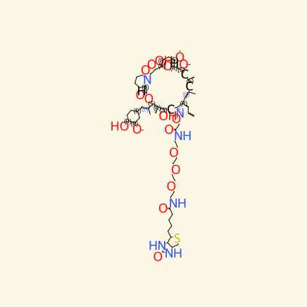 C=CC[C@@H]1/C=C(\C)C[C@H](C)C[C@H](OC)[C@H]2O[C@@](O)(C(=O)C(=O)N3CCCC[C@H]3C(=O)O[C@H](/C(C)=C/[C@@H]3CC[C@@H](O)[C@H](OC)C3)[C@H](C)[C@@H](O)C/C1=N\OCC(=O)NCCOCCOCCOCCNC(=O)CCCCC1SCC3NC(=O)NC31)[C@H](C)C[C@@H]2OC